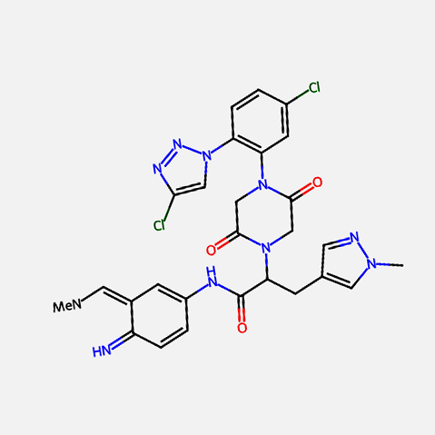 CN/C=C1/C=C(NC(=O)C(Cc2cnn(C)c2)N2CC(=O)N(c3cc(Cl)ccc3-n3cc(Cl)nn3)CC2=O)C=CC1=N